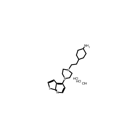 Cl.Cl.Cl.NC1CCC(CCN2CCN(c3ccnc4sccc34)CC2)CC1